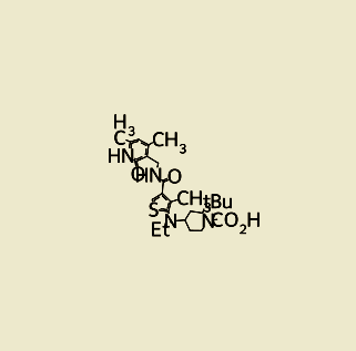 CCN(c1scc(C(=O)NCc2c(C)cc(C)[nH]c2=O)c1C)C1CCN(C(=O)O)C(C(C)(C)C)C1